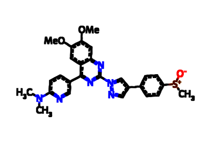 COc1cc2nc(-n3cc(-c4ccc([S+](C)[O-])cc4)cn3)nc(-c3ccc(N(C)C)nc3)c2cc1OC